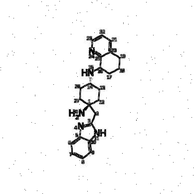 N[C@]1(Cc2nc3ccccc3[nH]2)CC[C@@H](NC2CCCc3cccnc32)CC1